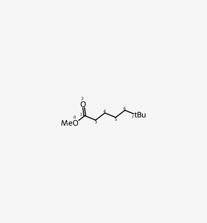 COC(=O)CCCCC(C)(C)C